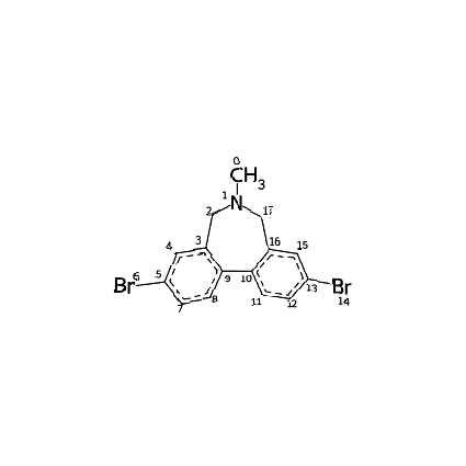 CN1Cc2cc(Br)ccc2-c2ccc(Br)cc2C1